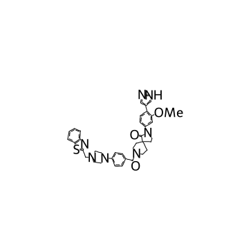 COc1cc(N2CCC3(CCN(C(=O)c4ccc(N5CCN(Cc6nc7ccccc7s6)CC5)cc4)CC3)C2=O)ccc1-c1cn[nH]c1